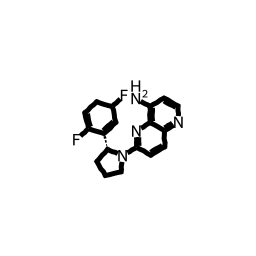 Nc1ccnc2ccc(N3CCC[C@@H]3C3=CC(F)CC=C3F)nc12